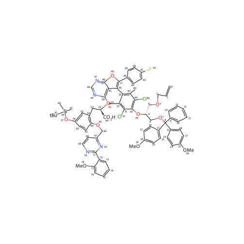 C=CCOC[C@H](COC(c1ccccc1)(c1ccc(OC)cc1)c1ccc(OC)cc1)Oc1c(Cl)c(C)c(-c2c(-c3ccc(F)cc3)oc3ncnc(O[C@H](Cc4cc(O[Si](C)(C)C(C)(C)C)ccc4OCc4ccnc(-c5ccccc5OC)n4)C(=O)O)c23)c(C)c1Cl